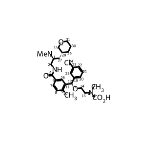 CN[C@H](CNC(=O)c1ccc(C)c([C@@H](OCCN(C)C(=O)O)c2cccc(Cl)c2)c1)C[C@H]1CCCOC1